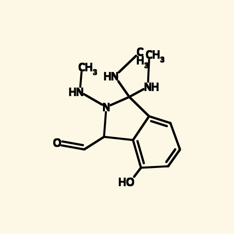 CNN1C(C=O)c2c(O)cccc2C1(NC)NC